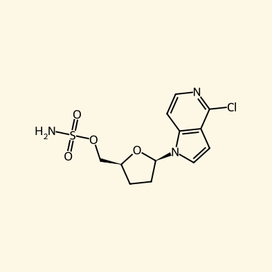 NS(=O)(=O)OC[C@@H]1CC[C@H](n2ccc3c(Cl)nccc32)O1